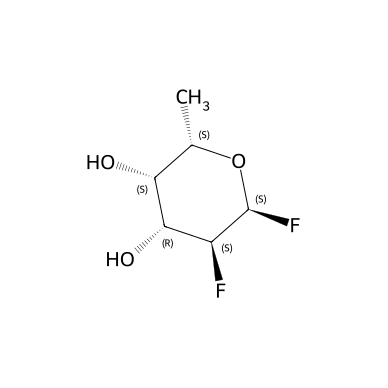 C[C@@H]1O[C@@H](F)[C@@H](F)[C@H](O)[C@@H]1O